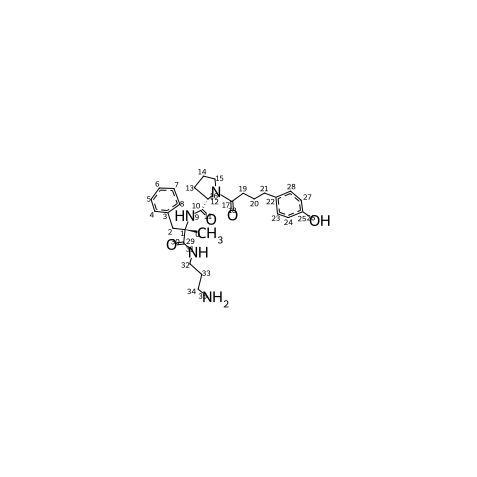 C[C@@](Cc1ccccc1)(NC(=O)[C@@H]1CCCN1C(=O)CCCc1ccc(O)cc1)C(=O)NCCCN